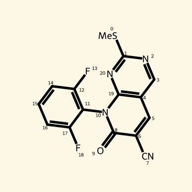 CSc1ncc2cc(C#N)c(=O)n(-c3c(F)cccc3F)c2n1